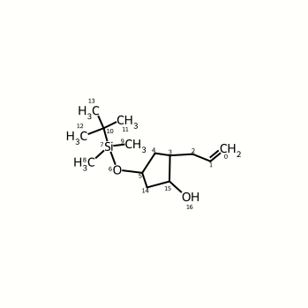 C=CCC1CC(O[Si](C)(C)C(C)(C)C)CC1O